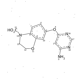 Nc1cc(Oc2ccc3c(c2)OCCN3C(=O)O)ncn1